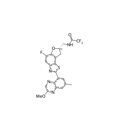 COc1cnc2c(-c3nc4cc(F)c5c(c4s3)C[C@@H](CNC(=O)C(F)(F)F)O5)cc(C)cc2n1